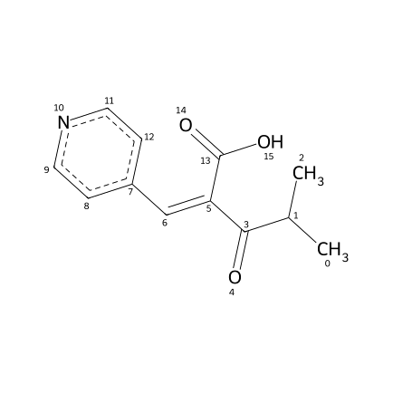 CC(C)C(=O)/C(=C/c1ccncc1)C(=O)O